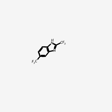 FC(F)(F)c1ccc2[nH]c(C(F)(F)F)nc2c1